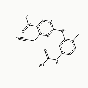 Cc1ccc(NC(=O)O)cc1Nc1ncc([N+](=O)[O-])c(SC#N)n1